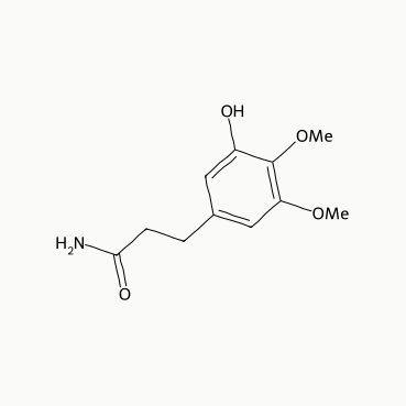 COc1cc(CCC(N)=O)cc(O)c1OC